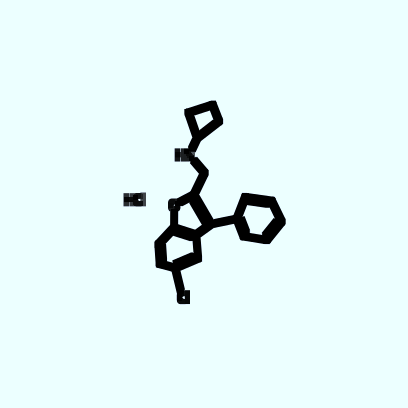 Cl.Clc1ccc2oc(CNC3CCC3)c(-c3ccccc3)c2c1